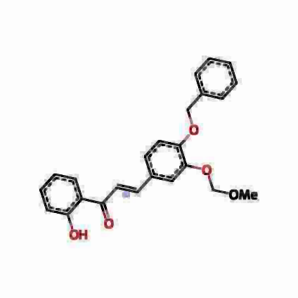 COCOc1cc(/C=C/C(=O)c2ccccc2O)ccc1OCc1ccccc1